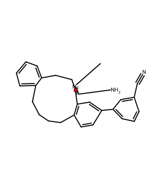 CN1OC2(CCc3ccccc3CCCCc3ccc(-c4cccc(C#N)c4)cc32)N=C1N